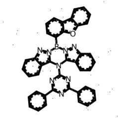 c1ccc(-c2nc(-c3ccccc3)nc(N3c4c5ccccc5nn4B(c4cccc5c4oc4ccccc45)n4nc5ccccc5c43)n2)cc1